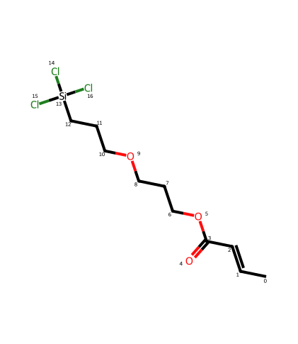 CC=CC(=O)OCCCOCCC[Si](Cl)(Cl)Cl